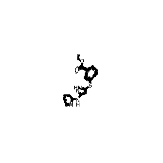 CCOC(=O)c1cccc(Sc2cc(Nc3ccccn3)n[nH]2)c1